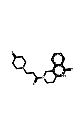 O=C1CCN(CCC(=O)N2CCc3[nH]c(=O)c4ccccc4c3C2)CC1